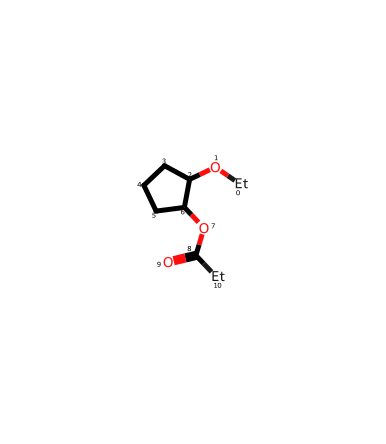 CCOC1CCCC1OC(=O)CC